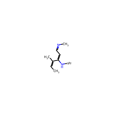 C\C=C(C)/C(=C\C=N/C)NCCC